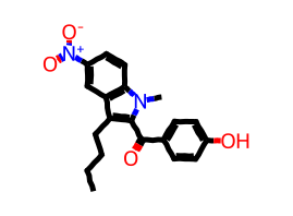 CCCCc1c(C(=O)c2ccc(O)cc2)n(C)c2ccc([N+](=O)[O-])cc12